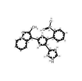 Cc1nn2ccccc2c1-c1nc(-c2ccccc2[N+](=O)[O-])c(-c2nc[nH]n2)s1